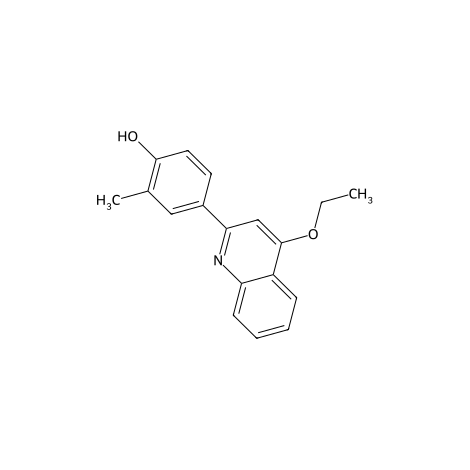 CCOc1cc(-c2ccc(O)c(C)c2)nc2ccccc12